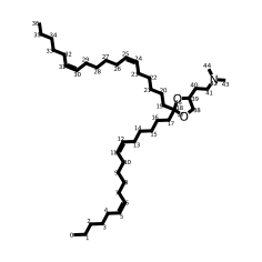 CCCCC/C=C\CCCC/C=C\CCCCCC1(CCCCC/C=C\CCCC/C=C\CCCCC)OCC(CCN(C)C)O1